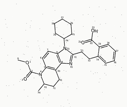 COC(=O)N1c2ccc3c(nc(CCc4ccccc4C(=O)O)n3C3CCCCC3)c2CCC1C